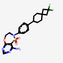 Nc1ncnc2c1S(=O)(=O)N(c1ccc(C3CCC4(CC3)CC(F)(F)C4)cc1)CCO2